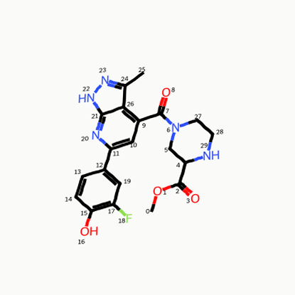 COC(=O)C1CN(C(=O)c2cc(-c3ccc(O)c(F)c3)nc3[nH]nc(C)c23)CCN1